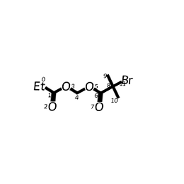 CCC(=O)OCOC(=O)C(C)(C)Br